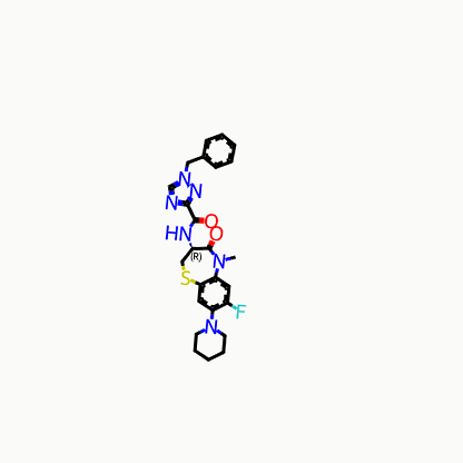 CN1C(=O)[C@@H](NC(=O)c2ncn(Cc3ccccc3)n2)CSc2cc(N3CCCCC3)c(F)cc21